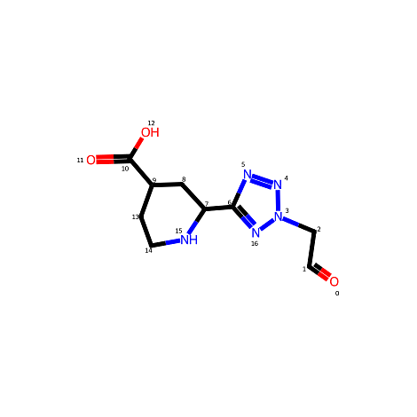 O=CCn1nnc(C2CC(C(=O)O)CCN2)n1